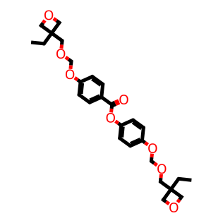 CCC1(COCOc2ccc(OC(=O)c3ccc(OCOCC4(CC)COC4)cc3)cc2)COC1